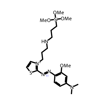 COc1cc(N(C)C)ccc1/N=N/c1scc[n+]1CCCNCCC[Si](OC)(OC)OC